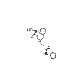 O=C(CC[C@H](CCCC(=O)Nc1ccccc1)Cc1ccccc1)NO